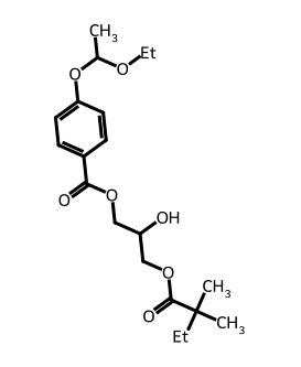 CCOC(C)Oc1ccc(C(=O)OCC(O)COC(=O)C(C)(C)CC)cc1